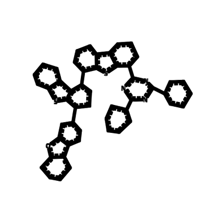 c1ccc(-c2nc(-c3ccccc3)nc(-c3cccc4c3sc3c(-c5ccc(-c6ccc7c(c6)oc6ccccc67)c6sc7ccccc7c56)cccc34)n2)cc1